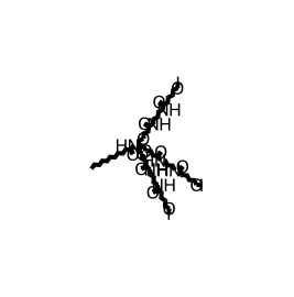 CCCCCCCCCCC(=O)NC(COCCC(=O)NCCCNC(=O)CCCCOI)(COCCC(=O)NCCCNC(=O)CCCCOI)COCCC(=O)NCCCNC(=O)CCCCOI